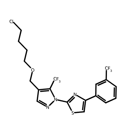 FC(F)(F)c1cccc(-c2csc(-n3ncc(COCCCCCl)c3C(F)(F)F)n2)c1